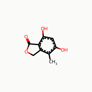 Cc1c(O)cc(O)c2c1COC2=O